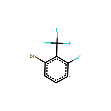 Fc1[c]ccc(Br)c1C(F)(F)F